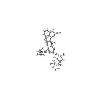 Oc1cc(-c2ncc3c(N4CC5CCC(C4)N5)nc(OC[C@@]45C[C@H](F)CN4[C@@H]4CCC[C@@H]4C5)nc3c2F)c2c(Cl)cccc2c1